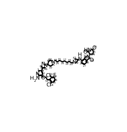 Nc1ncc(-c2cnn(C3CCN(CCCCCCCCN4CC(Nc5cccc6c5CN([C@@H]5CCC(=O)NC5=O)C6=O)C4)CC3)c2)cc1OCCc1c(Cl)ccc(F)c1Cl